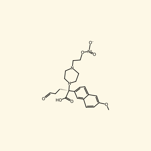 COc1ccc2cc([C@@](CCC=O)(C(=O)O)N3CCN(CCO[N+](=O)[O-])CC3)ccc2c1